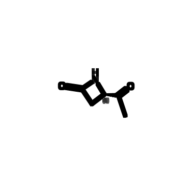 CC(=O)[C@@H]1CC(=O)N1